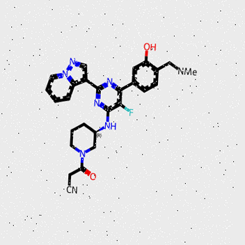 CNCc1ccc(-c2nc(-c3cnn4ccccc34)nc(N[C@@H]3CCCN(C(=O)CC#N)C3)c2F)cc1O